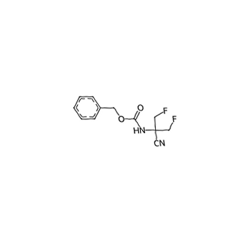 N#CC(CF)(CF)NC(=O)OCc1ccccc1